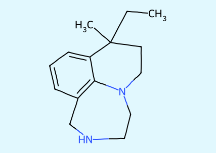 CCC1(C)CCN2CCNCc3cccc1c32